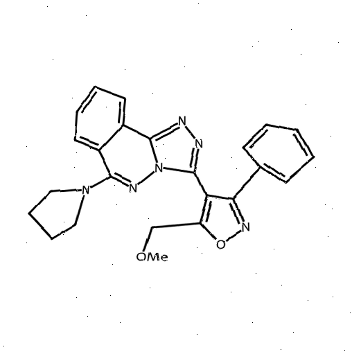 COCc1onc(-c2ccccc2)c1-c1nnc2c3ccccc3c(N3CCCC3)nn12